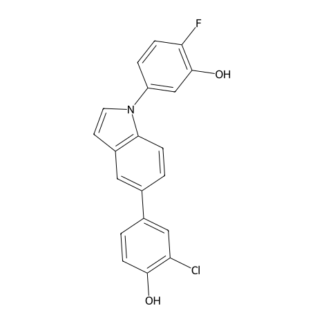 Oc1cc(-n2ccc3cc(-c4ccc(O)c(Cl)c4)ccc32)ccc1F